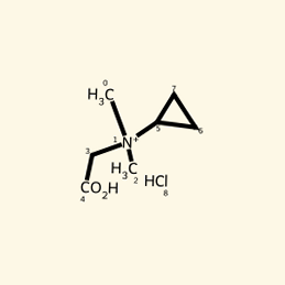 C[N+](C)(CC(=O)O)C1CC1.Cl